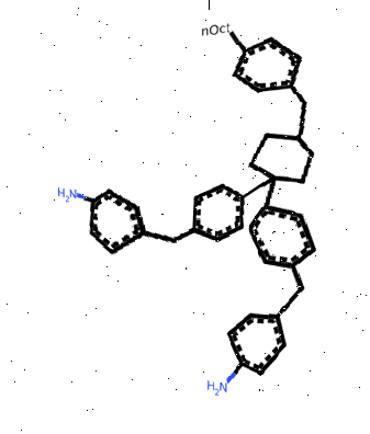 CCCCCCCCc1ccc(CC2CCC(c3ccc(Cc4ccc(N)cc4)cc3)(c3ccc(Cc4ccc(N)cc4)cc3)CC2)cc1